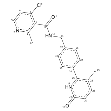 Cc1nccc(Cl)c1C(=O)NCc1ccc(-c2[nH]c(=O)ccc2F)cc1